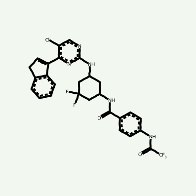 O=C(NC1CC(Nc2ncc(Cl)c(C3=CCc4ccccc43)n2)CC(F)(F)C1)c1ccc(NC(=O)C(F)(F)F)cc1